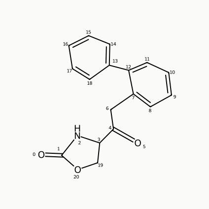 O=C1NC(C(=O)Cc2ccccc2-c2ccccc2)CO1